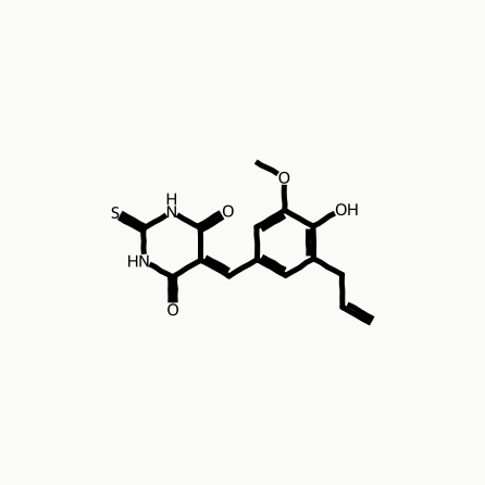 C=CCc1cc(C=C2C(=O)NC(=S)NC2=O)cc(OC)c1O